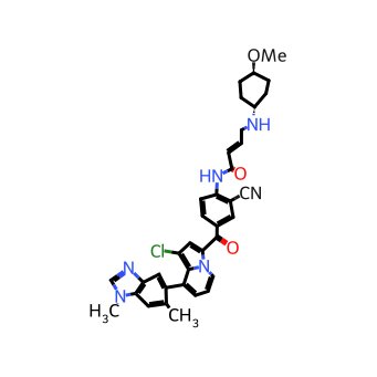 CO[C@H]1CC[C@H](NC/C=C/C(=O)Nc2ccc(C(=O)c3cc(Cl)c4c(-c5cc6ncn(C)c6cc5C)cccn34)cc2C#N)CC1